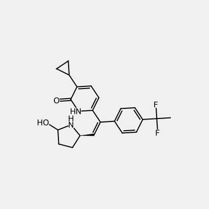 CC(F)(F)c1ccc(/C(=C/[C@H]2CCC(O)N2)c2ccc(C3CC3)c(=O)[nH]2)cc1